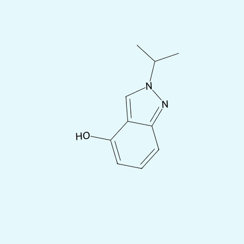 CC(C)n1cc2c(O)cccc2n1